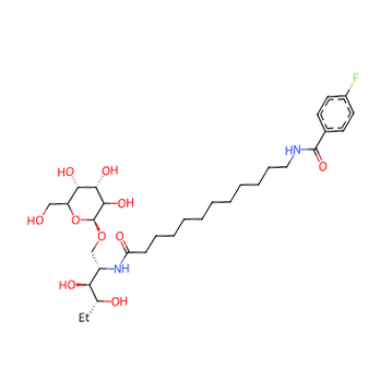 CC[C@@H](O)[C@@H](O)[C@H](CO[C@H]1OC(CO)[C@H](O)[C@H](O)C1O)NC(=O)CCCCCCCCCCCNC(=O)c1ccc(F)cc1